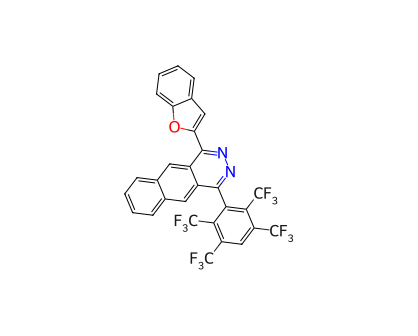 FC(F)(F)c1cc(C(F)(F)F)c(C(F)(F)F)c(-c2nnc(-c3cc4ccccc4o3)c3cc4ccccc4cc23)c1C(F)(F)F